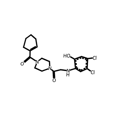 O=C(CNc1cc(Cl)c(Cl)cc1O)N1CCN(C(=O)C2=CCCCC2)CC1